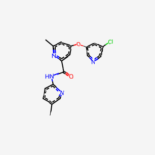 Cc1ccc(NC(=O)c2cc(Oc3cncc(Cl)c3)cc(C)n2)nc1